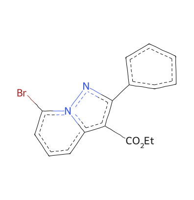 CCOC(=O)c1c(-c2ccccc2)nn2c(Br)cccc12